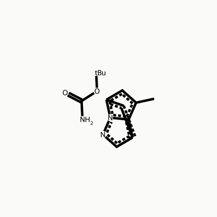 CC(C)(C)OC(N)=O.Cc1cc2cc3cnn2c13